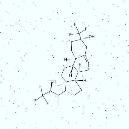 C[C@@H]([C@H]1CC[C@H]2[C@@H]3CC=C4C[C@](O)(C(F)(F)F)CC[C@@H]4[C@H]3CC[C@]12C)[C@H](O)C(F)(F)F